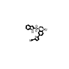 N#Cc1ccc(-c2ccc3c(c2)N(S(=O)(=O)c2cc4ccccc4[nH]2)CC[S+]3[O-])s1